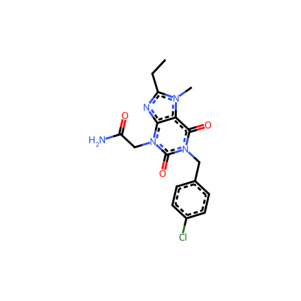 CCc1nc2c(c(=O)n(Cc3ccc(Cl)cc3)c(=O)n2CC(N)=O)n1C